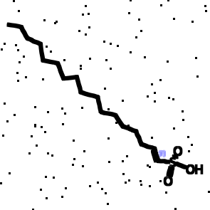 CCCCCCCCCCCCCCC/C=C/S(=O)(=O)O